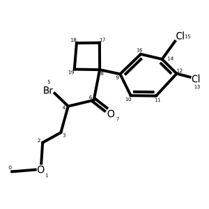 COCCC(Br)C(=O)C1(c2ccc(Cl)c(Cl)c2)CCC1